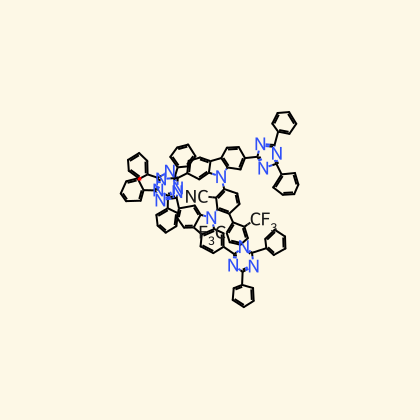 N#Cc1c(-n2c3cc(-c4nc(-c5ccccc5)nc(-c5ccccc5)n4)ccc3c3ccc(-c4nc(-c5ccccc5)nc(-c5ccccc5)n4)cc32)ccc(-c2c(C(F)(F)F)cccc2C(F)(F)F)c1-n1c2cc(-c3nc(-c4ccccc4)nc(-c4ccccc4)n3)ccc2c2ccc(-c3nc(-c4ccccc4)nc(-c4ccccc4)n3)cc21